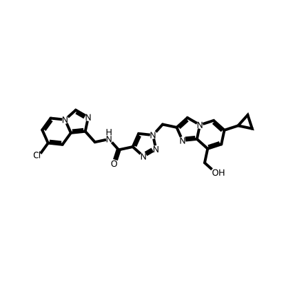 O=C(NCc1ncn2ccc(Cl)cc12)c1cn(Cc2cn3cc(C4CC4)cc(CO)c3n2)nn1